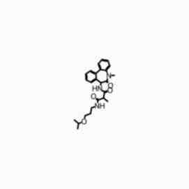 CC(C)OCCCNC(=O)C(C)C(=O)NC1C(=O)N(C)c2ccccc2-c2ccccc21